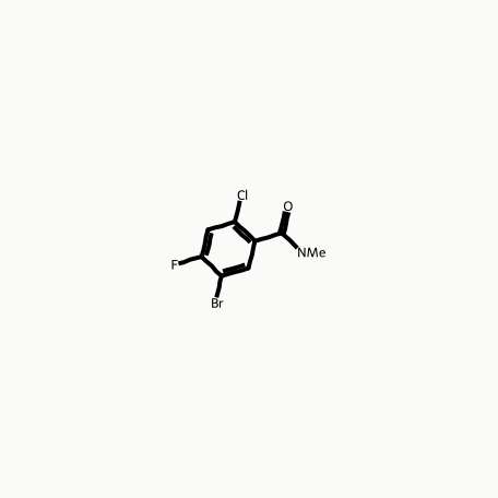 CNC(=O)c1cc(Br)c(F)cc1Cl